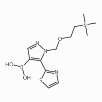 C[Si](C)(C)CCOCn1ncc(B(O)O)c1-c1nccs1